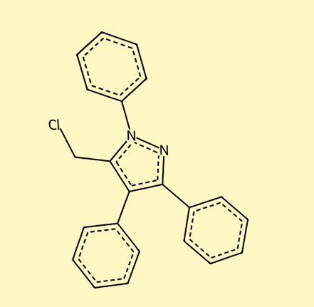 ClCc1c(-c2ccccc2)c(-c2ccccc2)nn1-c1ccccc1